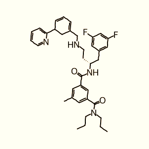 CCCN(CCC)C(=O)c1cc(C)cc(C(=O)N[C@H](CCNCC2=CC=CC(c3ccccn3)C2)Cc2cc(F)cc(F)c2)c1